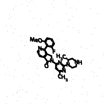 COc1cccc(F)c1-c1nccc2c1CN(c1cc(C)nc(N3CCNC[C@@H]3C)n1)C2=O